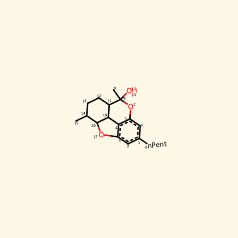 CCCCCc1cc2c3c(c1)OC(C)(O)C1CCC(C)C(O2)C31